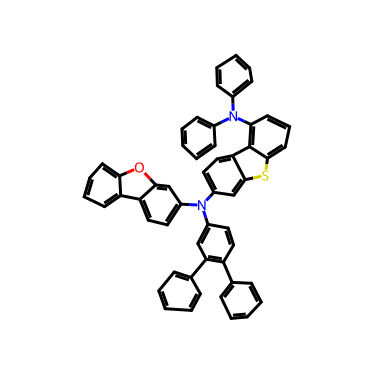 c1ccc(-c2ccc(N(c3ccc4c(c3)oc3ccccc34)c3ccc4c(c3)sc3cccc(N(c5ccccc5)c5ccccc5)c34)cc2-c2ccccc2)cc1